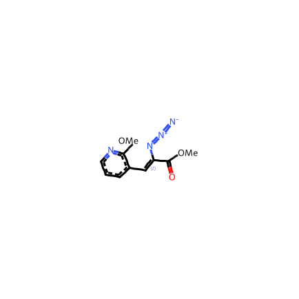 COC(=O)/C(=C/c1cccnc1OC)N=[N+]=[N-]